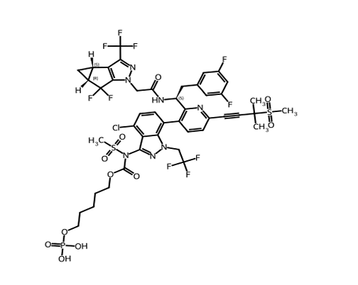 CC(C)(C#Cc1ccc(-c2ccc(Cl)c3c(N(C(=O)OCCCCCOP(=O)(O)O)S(C)(=O)=O)nn(CC(F)(F)F)c23)c([C@H](Cc2cc(F)cc(F)c2)NC(=O)Cn2nc(C(F)(F)F)c3c2C(F)(F)[C@@H]2C[C@H]32)n1)S(C)(=O)=O